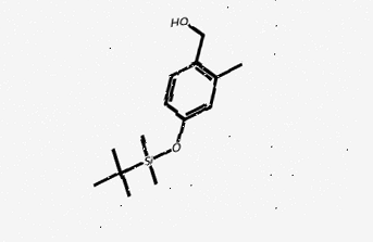 Cc1cc(O[Si](C)(C)C(C)(C)C)ccc1CO